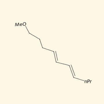 CCC/C=C/C=C/CCCOC